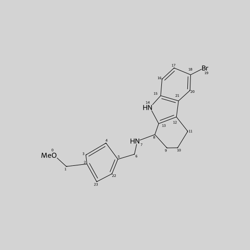 COCc1ccc(CNC2CCCc3c2[nH]c2ccc(Br)cc32)cc1